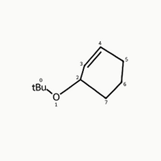 CC(C)(C)OC1C=CCCC1